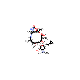 CC[C@H]1OC(=O)C(C)C(=O)[C@H](C)[C@@H](O[C@@H]2O[C@H](CCC3CC3)C[C@H](N(C)C)[C@H]2O)[C@](C)(OC)C[C@@H](C)CN[C@H](C)[C@H]2NC(=O)O[C@@]21C